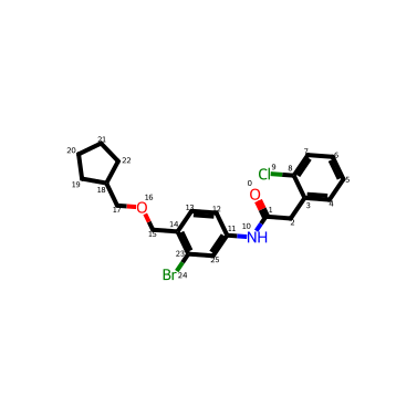 O=C(Cc1ccccc1Cl)Nc1ccc(COCC2CCCC2)c(Br)c1